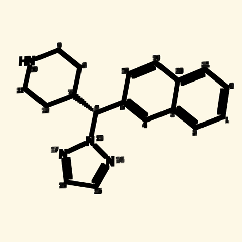 c1ccc2cc([C@@H](C3CCNCC3)n3nccn3)ccc2c1